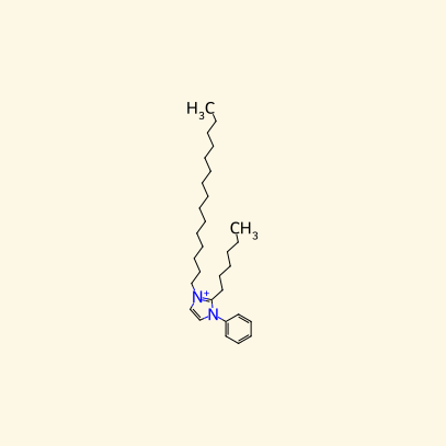 CCCCCCCCCCCCCCC[n+]1ccn(-c2ccccc2)c1CCCCCC